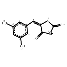 O=C1NC(=S)SC1=Cc1cc(O)cc(O)c1